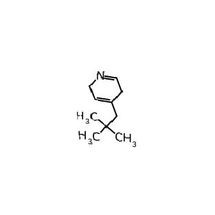 CC(C)(C)CC1=CCN=CC1